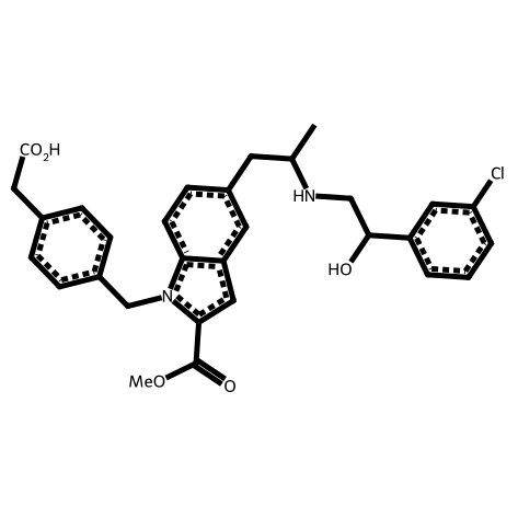 COC(=O)c1cc2cc(CC(C)NCC(O)c3cccc(Cl)c3)ccc2n1Cc1ccc(CC(=O)O)cc1